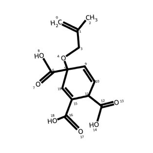 C=C(C)COC1(C(=O)O)C=CC(C(=O)O)C(C(=O)O)=C1